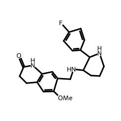 COc1cc2c(cc1CNC1CCCNC1c1ccc(F)cc1)NC(=O)CC2